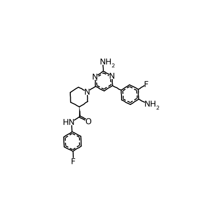 Nc1nc(-c2ccc(N)c(F)c2)cc(N2CCC[C@H](C(=O)Nc3ccc(F)cc3)C2)n1